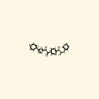 CC(Cc1cccnc1)Nc1ccc(C(=O)Nc2nnc(-c3ccncc3)s2)cn1